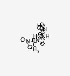 CC(C)(CCN(Cc1ccccc1)Cc1ccccc1)CNC[C@@H](O)[C@H](Cc1ccccc1)NC(=O)O[C@H]1CO[C@H]2OCC[C@H]21